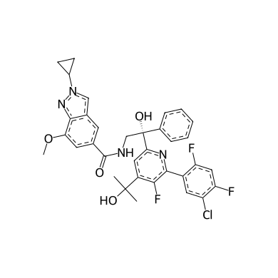 COc1cc(C(=O)NC[C@@](O)(c2ccccc2)c2cc(C(C)(C)O)c(F)c(-c3cc(Cl)c(F)cc3F)n2)cc2cn(C3CC3)nc12